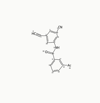 C#Cc1cc(C#N)cc(NC(=O)c2cccc(C(C)=O)c2)c1